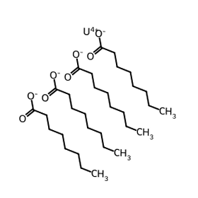 CCCCCCCC(=O)[O-].CCCCCCCC(=O)[O-].CCCCCCCC(=O)[O-].CCCCCCCC(=O)[O-].[U+4]